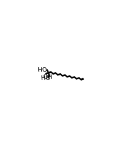 C=CCCCCCCCCCCCCCC(CO)(CO)CO